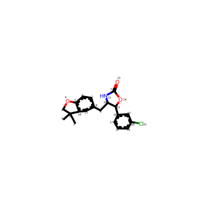 CC1(C)COc2ccc(CC3NC(=O)OC3c3cccc(Cl)c3)cc21